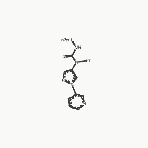 CCCCCNC(=O)N(CC)c1cnn(-c2cccnc2)c1